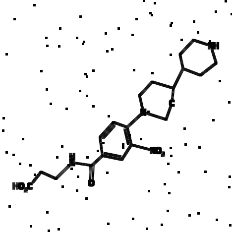 O=C(O)CCNC(=O)c1ccc(N2CCC(C3CCNCC3)CC2)c([N+](=O)[O-])c1